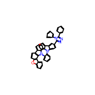 c1ccc(-c2nnc(-c3ccc4c(c3)c3ccccc3n4-c3ccccc3-n3c4ccccc4c4ccc5oc6ccccc6c5c43)n2-c2ccccc2)cc1